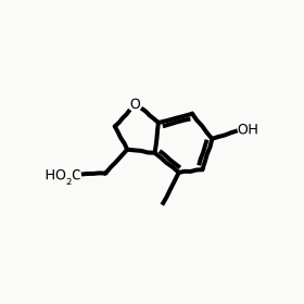 Cc1cc(O)cc2c1C(CC(=O)O)CO2